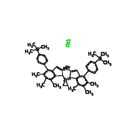 Cc1c(C)c(-c2ccc([Si](C)(C)C)cc2)c2c(c1C)[CH]([Zr+2]1([CH]3C(C(C)C)=Cc4c(-c5ccc([Si](C)(C)C)cc5)c(C)c(C)c(C)c43)[CH2][CH2]1)C(C(C)C)=C2.[Cl-].[Cl-]